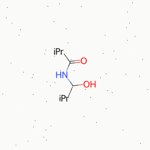 CC(C)C(=O)NC(O)C(C)C